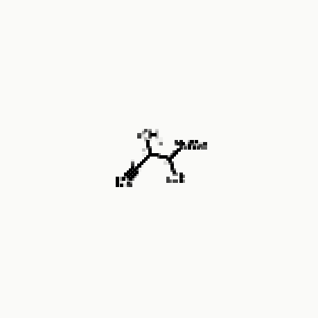 C#CC(C)C(CC)NC